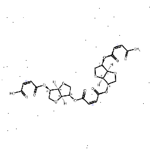 CC(=O)/C=C\C(=O)O[C@@H]1CO[C@H]2[C@@H]1OC[C@H]2OC(=O)/C=C\C(=O)O[C@@H]1CO[C@H]2[C@@H]1OC[C@H]2OC(=O)/C=C\C(=O)O